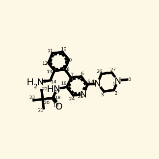 CN1CCN(c2cc(-c3ccccc3CN)c(NC(=O)C(C)(C)C)cn2)CC1